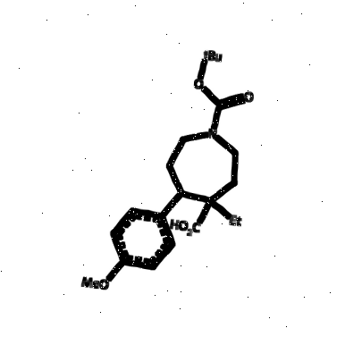 CCC1(C(=O)O)CCN(C(=O)OC(C)(C)C)CCC1c1ccc(OC)cc1